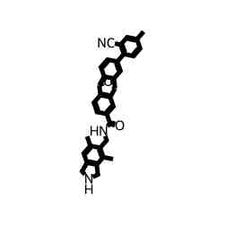 Cc1ccc(-c2ccc3c(c2)c2oc3c3ccc(C(=O)NCc4c(C)cc5c(c4C)CNC5)cc32)c(C#N)c1